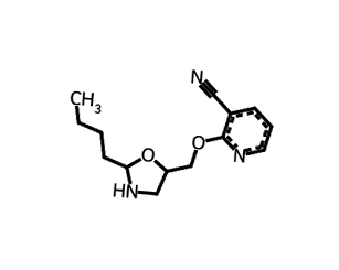 CCCCC1NCC(COc2ncccc2C#N)O1